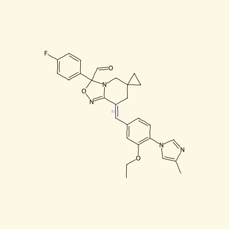 CCOc1cc(/C=C2\CC3(CC3)CN3C2=NOC3(C=O)c2ccc(F)cc2)ccc1-n1cnc(C)c1